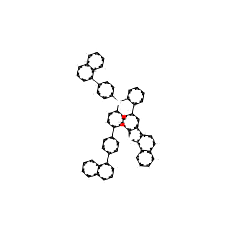 c1ccc(N(c2ccc(-c3ccc(-c4cccc5ccccc45)cc3)cc2)c2ccc(-c3cccc4ccccc34)cc2)c(-c2ccc3oc4c5ccccc5ccc4c3c2)c1